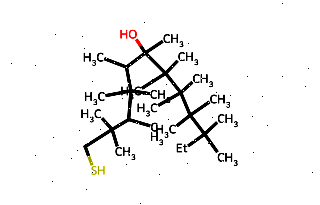 CCC(C)(C)C(C)(C)C(C)(C)C(C)(C)C(C)(O)C(C)C(C)(C)C(C)C(C)(C)CS